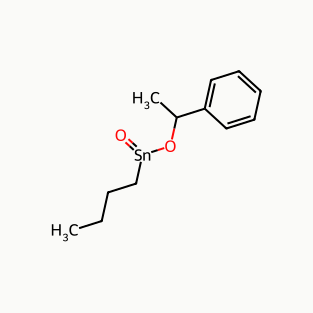 CCC[CH2][Sn](=[O])[O]C(C)c1ccccc1